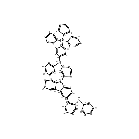 c1ccc([Si](c2ccccc2)(c2ccccc2)c2ccc(-n3c4ccccc4c4c(-n5c6ccccc6c6cc(-c7cccc8c7sc7ccccc78)ccc65)cccc43)cc2)cc1